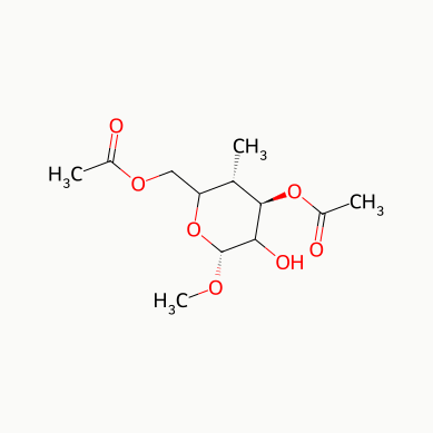 CO[C@@H]1OC(COC(C)=O)[C@H](C)[C@@H](OC(C)=O)C1O